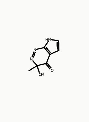 CC1(C#N)N=Nc2[nH]ccc2C1=O